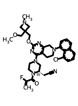 C=C(F)C(=O)N1CCN(c2nc(OCC3(COC)CN(C)C3)nc3c2CCN(c2cccc4cccc(Cl)c24)C3)C[C@@H]1CC#N